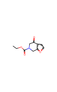 CCOC(=O)N1CC(=O)c2ccoc2C1